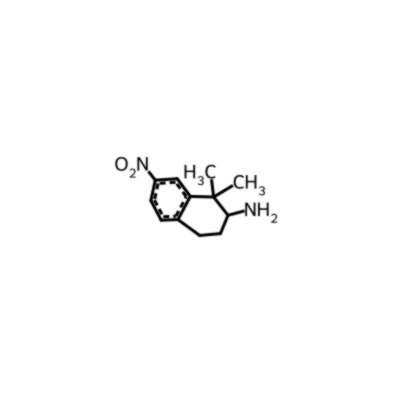 CC1(C)c2cc([N+](=O)[O-])ccc2CCC1N